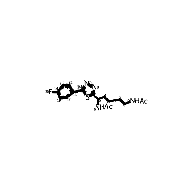 CC(=O)NCCCCC(NC(C)=O)c1nnc(-c2ccc(F)cc2)s1